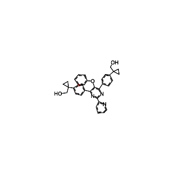 OCC1(c2ccc(-c3nc(-c4ccccn4)nc(-c4ccc(C5(CO)CC5)cc4)c3Oc3ccccc3)cc2)CC1